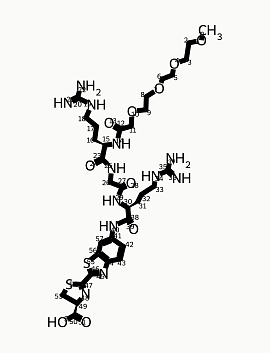 COCCOCCOCCOCC(=O)N[C@H](CCCNC(=N)N)C(=O)NCC(=O)N[C@@H](CCCNC(=N)N)C(=O)Nc1ccc2nc(C3=N[C@@H](C(=O)O)CS3)sc2c1